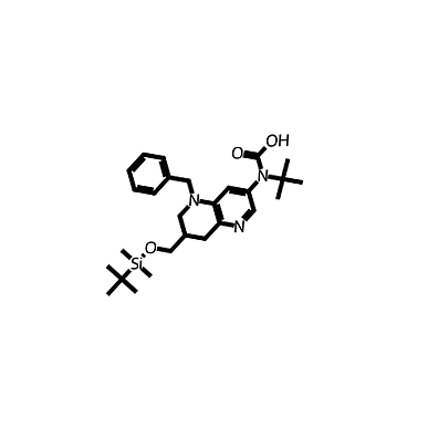 CC(C)(C)N(C(=O)O)c1cnc2c(c1)N(Cc1ccccc1)CC(CO[Si](C)(C)C(C)(C)C)C2